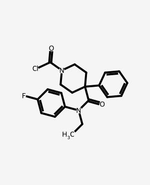 CCN(C(=O)C1(c2ccccc2)CCN(C(=O)Cl)CC1)c1ccc(F)cc1